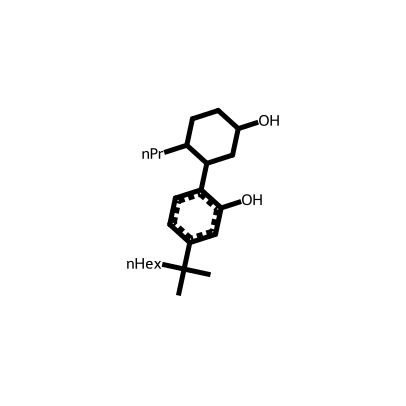 CCCCCCC(C)(C)c1ccc(C2CC(O)CCC2CCC)c(O)c1